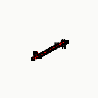 O=C(CCCC[C@@H]1SC[C@@H]2NC(=O)N[C@@H]21)NCCOCCOCCOCCOCCOCCOCCOCCOCCOCCOCCOCCOCCC(=O)NC[C@H]1CN(C2CCN(c3ccccn3)CC2)[C@@H](Cc2ccc(Cl)cc2)CO1